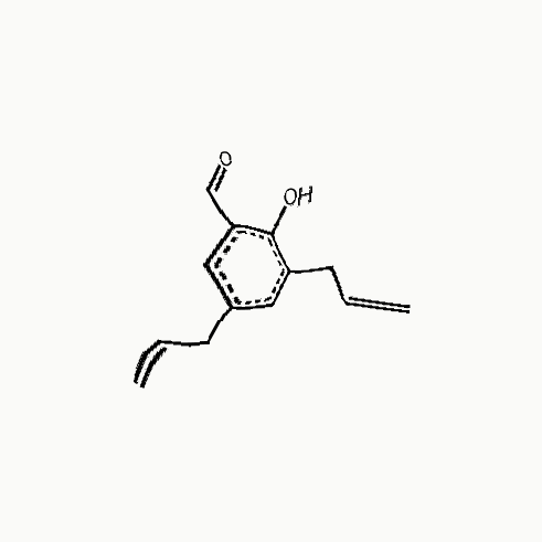 C=CCc1cc(C=O)c(O)c(CC=C)c1